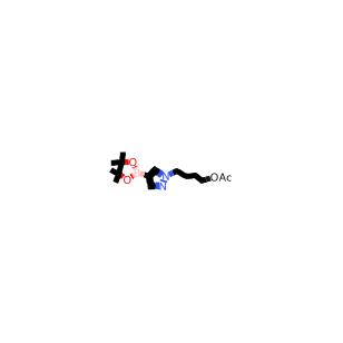 CC(=O)OCCCCn1cc(B2OC(C)(C)C(C)(C)O2)cn1